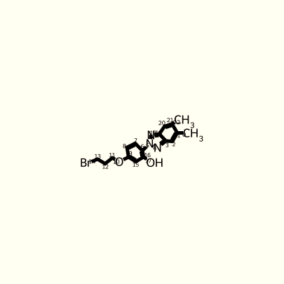 Cc1cc2nn(-c3ccc(OCCCBr)cc3O)nc2cc1C